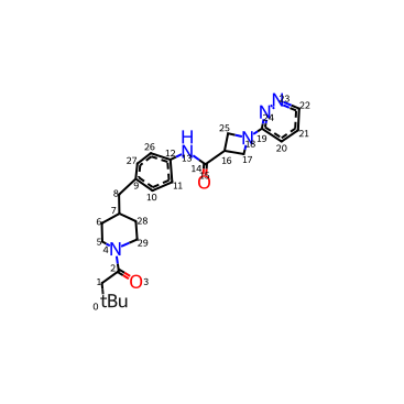 CC(C)(C)CC(=O)N1CCC(Cc2ccc(NC(=O)C3CN(c4cccnn4)C3)cc2)CC1